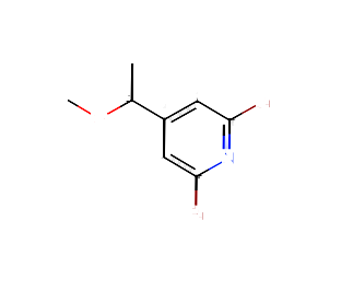 COC(C)c1cc(Br)nc(Br)c1